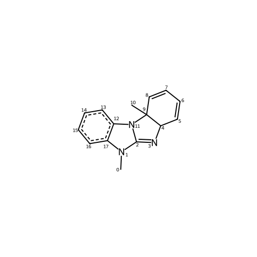 CN1C2=NC3C=CC=CC3(C)N2c2ccccc21